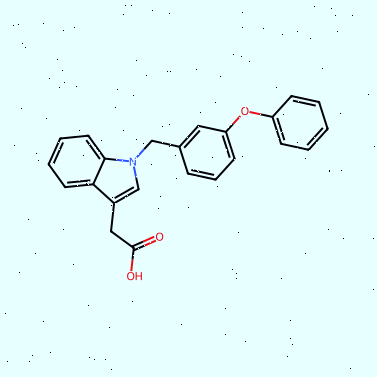 O=C(O)Cc1cn(Cc2cccc(Oc3ccccc3)c2)c2ccccc12